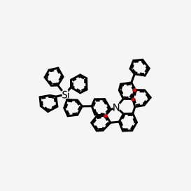 c1ccc(-c2ccc(N(c3ccc(-c4cccc([Si](c5ccccc5)(c5ccccc5)c5ccccc5)c4)cc3)c3c(-c4ccccc4)cccc3-c3ccccc3)cc2)cc1